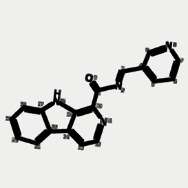 O=C(N=Cc1cccnc1)c1nccc2c1[nH]c1ccccc12